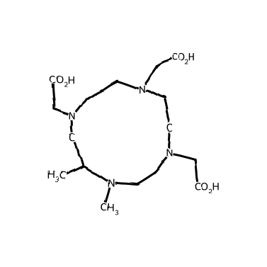 CC1CN(CC(=O)O)CCN(CC(=O)O)CCN(CC(=O)O)CCN1C